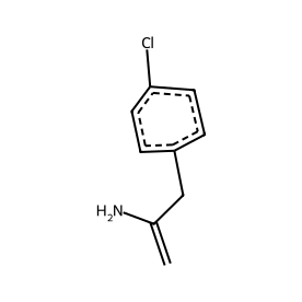 C=C(N)Cc1ccc(Cl)cc1